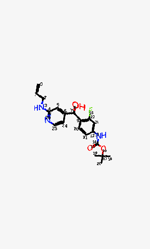 C=CCNc1cc(C(O)c2ccc(NC(=O)OC(C)(C)C)cc2F)ccn1